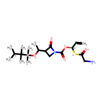 C=C[C@H](OC(=O)N1CC(C(C)O[Si](C)(C)C(C)(C)C(C)C)C1=O)SC(=O)CN